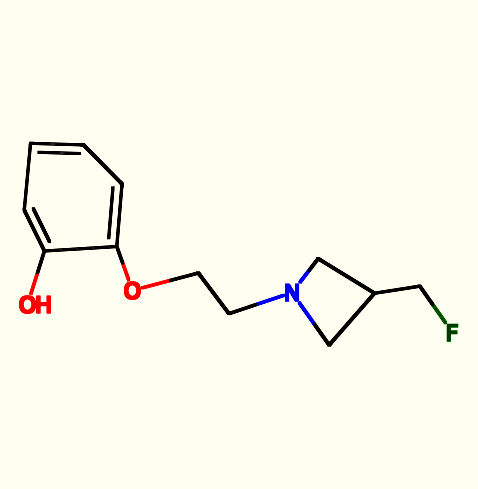 Oc1ccccc1OCCN1CC(CF)C1